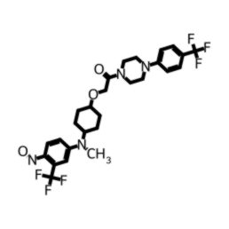 CN(c1ccc(N=O)c(C(F)(F)F)c1)C1CCC(OCC(=O)N2CCN(c3ccc(C(F)(F)F)cc3)CC2)CC1